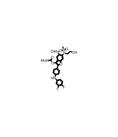 CNC(=O)Oc1c(-c2ccc(Nc3ccc(F)c(F)c3)cc2)oc2cc(N(CCO)S(C)(=O)=O)c(OC)cc12